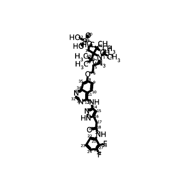 CC(C)N(CCCOc1ccc2c(Nc3cc(CC(=O)Nc4cccc(F)c4F)[nH]n3)ncnc2c1)C(COP(=O)(O)O)(C(C)(C)C)C(C)(C)C